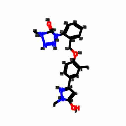 Cc1cc(-c2cc(O)n(C)n2)ccc1OCc1ccccc1-n1nnn(C)c1=O